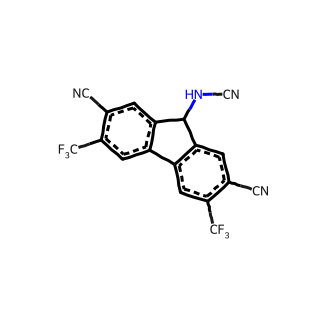 N#CNC1c2cc(C#N)c(C(F)(F)F)cc2-c2cc(C(F)(F)F)c(C#N)cc21